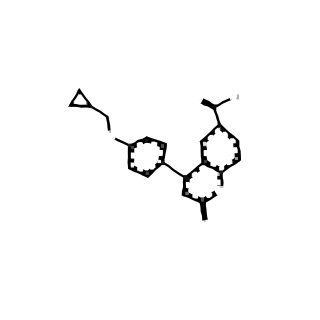 NC(=O)c1ccc2oc(=O)cc(-c3ccc(OCC4CC4)cc3)c2c1